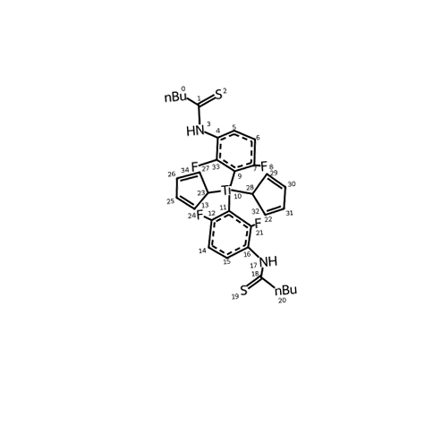 CCCCC(=S)Nc1ccc(F)[c]([Ti]([c]2c(F)ccc(NC(=S)CCCC)c2F)([CH]2C=CC=C2)[CH]2C=CC=C2)c1F